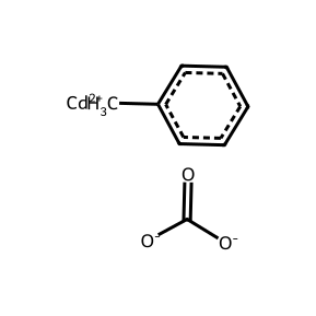 Cc1ccccc1.O=C([O-])[O-].[Cd+2]